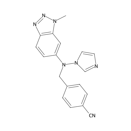 Cn1nnc2ccc(N(Cc3ccc(C#N)cc3)n3ccnc3)cc21